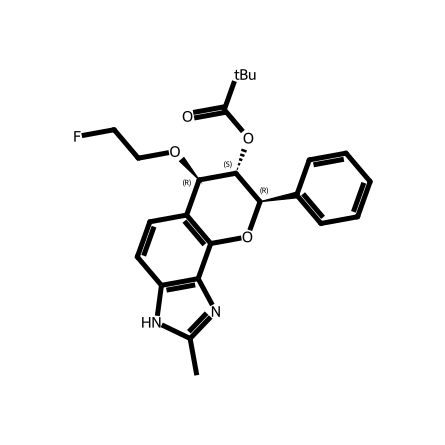 Cc1nc2c3c(ccc2[nH]1)[C@@H](OCCF)[C@H](OC(=O)C(C)(C)C)[C@@H](c1ccccc1)O3